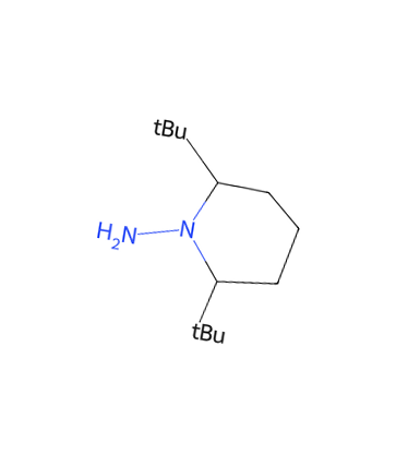 CC(C)(C)C1CCCC(C(C)(C)C)N1N